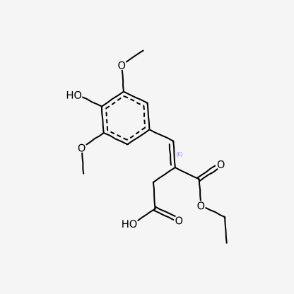 CCOC(=O)/C(=C/c1cc(OC)c(O)c(OC)c1)CC(=O)O